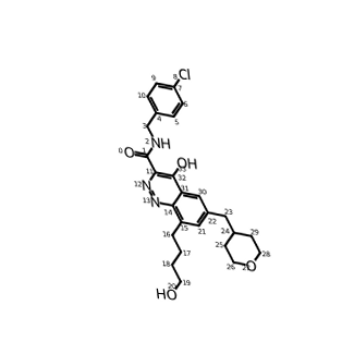 O=C(NCc1ccc(Cl)cc1)c1nnc2c(CCCCO)cc(CC3CCOCC3)cc2c1O